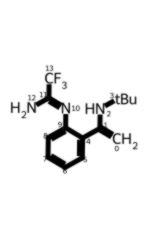 C=C(NC(C)(C)C)c1ccccc1/N=C(\N)C(F)(F)F